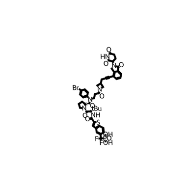 CC(C)(C)C(NC(=O)c1cc2cc(C(F)(F)P(=O)(O)O)ccc2s1)C(=O)N1CCC[C@H]1C(=O)N(CCC(=O)N1CC(CC#Cc2cccc3c2CN(C2CCC(=O)NC2=O)C3=O)C1)c1ccc(Br)cc1